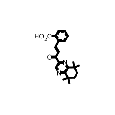 CC1(C)CCC(C)(C)c2nc(C(=O)C=Cc3ccccc3C(=O)O)cnc21